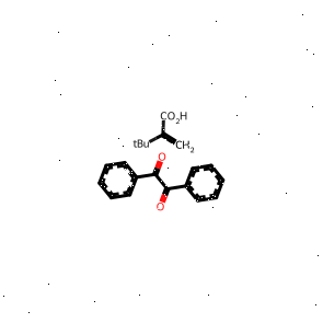 C=C(C(=O)O)C(C)(C)C.O=C(C(=O)c1ccccc1)c1ccccc1